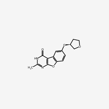 Cc1nc2oc3ccc(O[C@H]4CCOC4)cc3c2c(=O)[nH]1